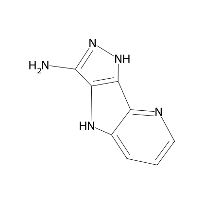 Nc1n[nH]c2c1[nH]c1cccnc12